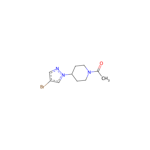 CC(=O)N1CCC(n2cc(Br)cn2)CC1